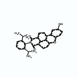 CC(C)c1cccc(C(C)C)c1-n1c(=O)c2ccc3oc4ccc(O)cc4c4ccc(c1=O)c2c34